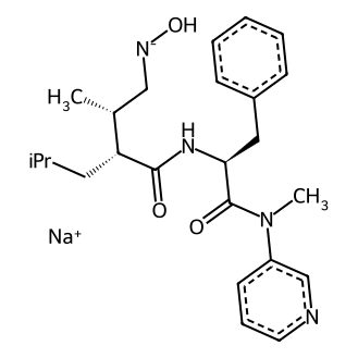 [CH2]C(C)C[C@@H](C(=O)N[C@@H](Cc1ccccc1)C(=O)N(C)c1cccnc1)[C@H](C)C[N-]O.[Na+]